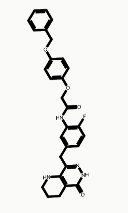 O=C(COc1ccc(OCc2ccccc2)cc1)Nc1cc(Cc2n[nH]c(=O)c3c2NCCC3)ccc1F